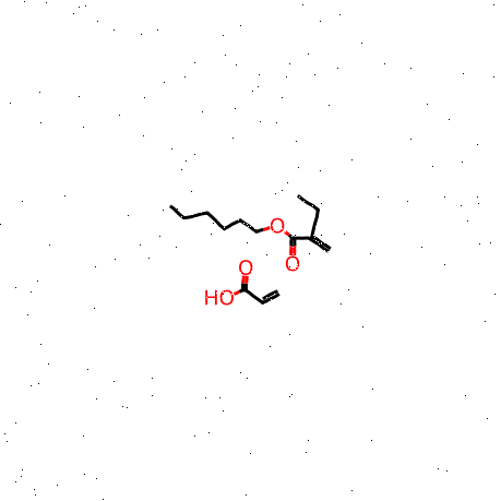 C=C(CC)C(=O)OCCCCCC.C=CC(=O)O